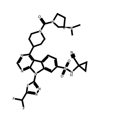 CN(C)[C@@H]1CCN(C(=O)N2CCC(c3ncnc4c3c3ccc(S(=O)(=O)NC5(C#N)CC5)cc3n4-c3nnc(C(F)F)s3)CC2)C1